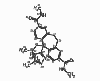 CNC(=O)c1ccc2c(c1)CCc1cc(C(=O)NC)ccc1C2(C[C@@H](C)N)c1nnc(C)[nH]1